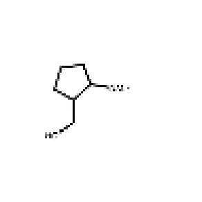 CNC1CCCC1CO